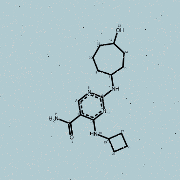 NC(=O)c1cnc(NC2CCCC(O)CC2)nc1NC1CCC1